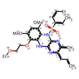 C=C/C=c1/nc(Nc2cc(OC)cc(OC)c2OCCOCC)c(NS(=O)(=O)C(/C=C\CC)=C/C)nc1=C